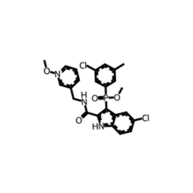 CO[n+]1cccc(CNC(=O)c2[nH]c3ccc(Cl)cc3c2P(=O)(OC)c2cc(C)cc(Cl)c2)c1